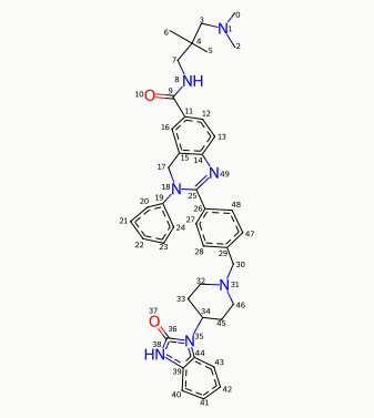 CN(C)CC(C)(C)CNC(=O)c1ccc2c(c1)CN(c1ccccc1)C(c1ccc(CN3CCC(n4c(=O)[nH]c5ccccc54)CC3)cc1)=N2